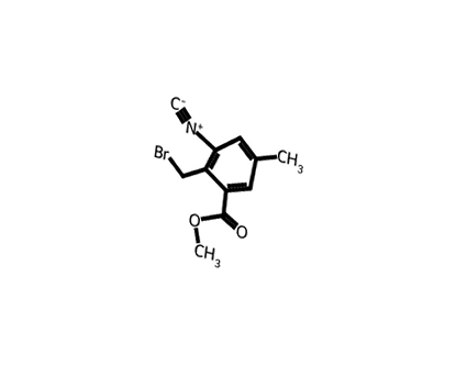 [C-]#[N+]c1cc(C)cc(C(=O)OC)c1CBr